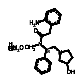 CN(C(=O)Cc1ccccc1N)[C@@H](CN1CCC(O)C1)c1ccccc1.Cl.Cl.O.O